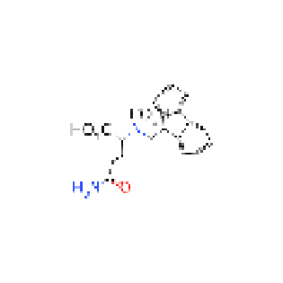 NC(=O)CC[C@H](C(=O)O)N(CC1c2ccccc2-c2ccccc21)C(=O)O